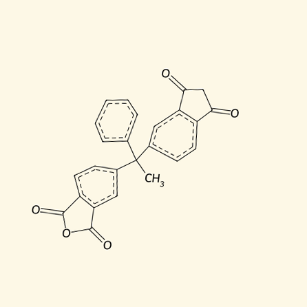 CC(c1ccccc1)(c1ccc2c(c1)C(=O)CC2=O)c1ccc2c(c1)C(=O)OC2=O